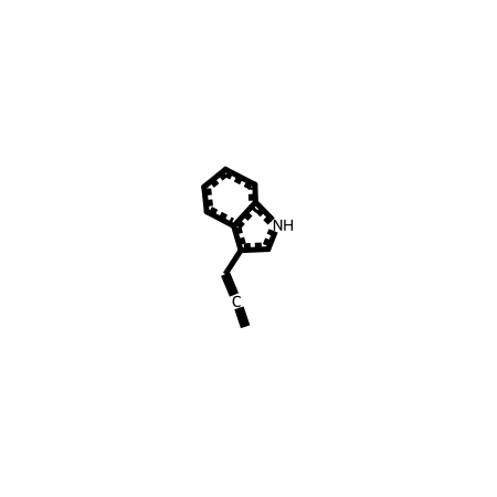 C=C=Cc1c[nH]c2ccccc12